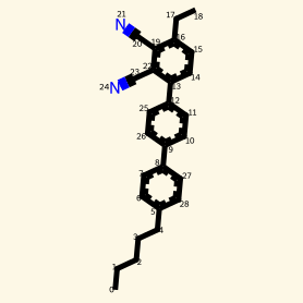 CCCCCc1ccc(-c2ccc(-c3ccc(CC)c(C#N)c3C#N)cc2)cc1